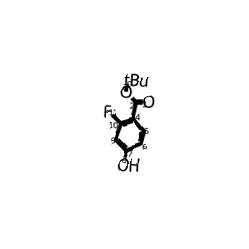 CC(C)(C)OC(=O)c1ccc(O)cc1F